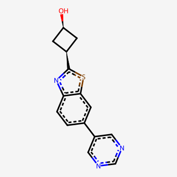 O[C@H]1C[C@@H](c2nc3ccc(-c4cncnc4)cc3s2)C1